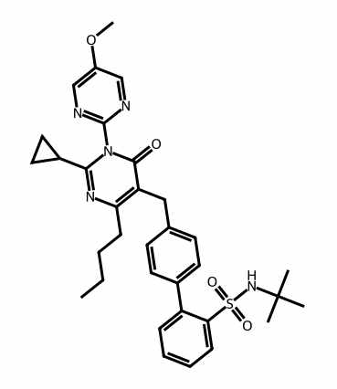 CCCCc1nc(C2CC2)n(-c2ncc(OC)cn2)c(=O)c1Cc1ccc(-c2ccccc2S(=O)(=O)NC(C)(C)C)cc1